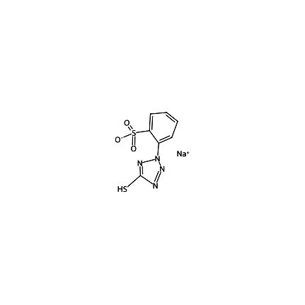 O=S(=O)([O-])c1ccccc1-n1nnc(S)n1.[Na+]